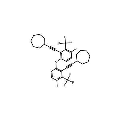 Cc1ccc(Sc2ccc(C)c(C(F)(F)F)c2C#CC2CCCCCC2)c(C#CC2CCCCCC2)c1C(F)(F)F